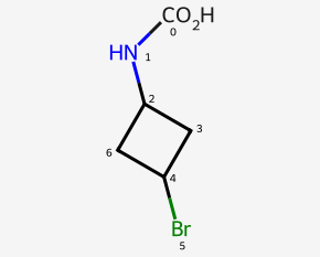 O=C(O)NC1CC(Br)C1